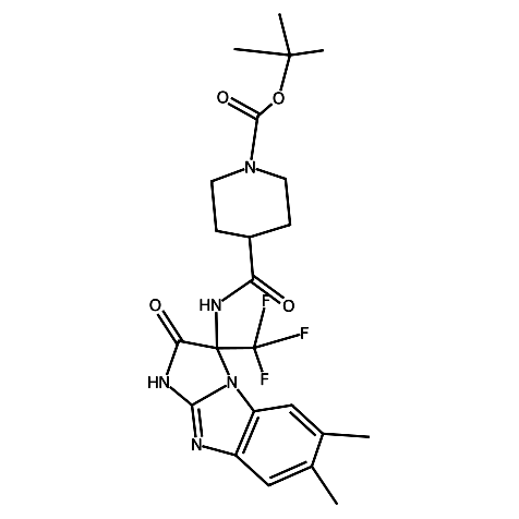 Cc1cc2nc3n(c2cc1C)C(NC(=O)C1CCN(C(=O)OC(C)(C)C)CC1)(C(F)(F)F)C(=O)N3